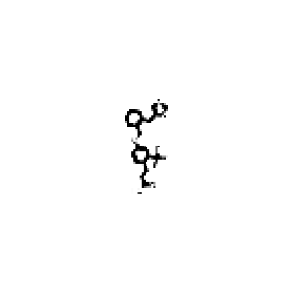 O=C(O)CCc1ccc(OCC2=C(Cc3cncs3)CCCC2)cc1C(F)(F)F